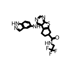 O=C(NCC(F)(F)F)C1CCc2c(sc3ncnc(Nc4ccc5[nH]ncc5c4)c23)C1